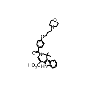 CC1(C)CN(C(=O)c2ccc(OCCCN3CCOCC3)cc2)C=C(C(=O)O)c2[nH]c3ccccc3c21